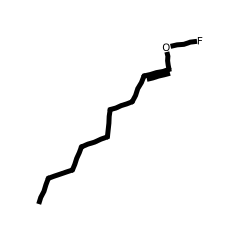 CCCCCCCC=COF